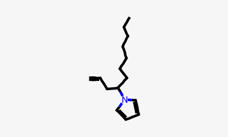 C=CCC(CCCCCCC)n1cccc1